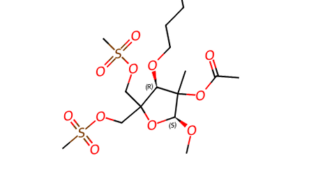 CCCCO[C@@H]1C(COS(C)(=O)=O)(COS(C)(=O)=O)O[C@H](OC)C1(C)OC(C)=O